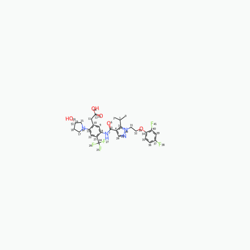 CC(C)c1c(C(=O)Nc2cc(CC(=O)O)c(N3CC[C@H](O)C3)cc2C(F)(F)F)cnn1CCOc1ccc(F)cc1F